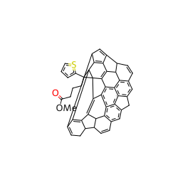 COC(=O)CCCC1(c2cccs2)C23C4=C5C6=C7C8C=C6C6C=Cc9cc%10c%11c(c4c4c%12c%13c(cc(c%12%11)C%10)C=CC%10C%11CC=C8C(=C%11C(=C42)C%13%10)C731)c9C56